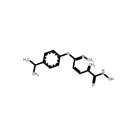 C=C(/C=C\C(=N/C)Oc1ccc(C(C)C)cc1)C(=O)NO